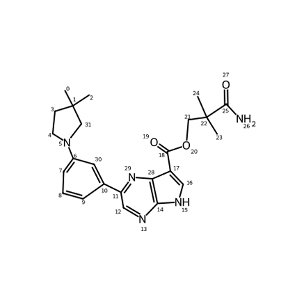 CC1(C)CCN(c2cccc(-c3cnc4[nH]cc(C(=O)OCC(C)(C)C(N)=O)c4n3)c2)C1